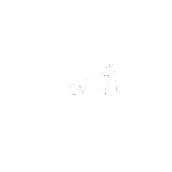 COc1ccc([C@H]2C[C@@H]2COc2nc(C)ncc2-c2ncno2)nc1